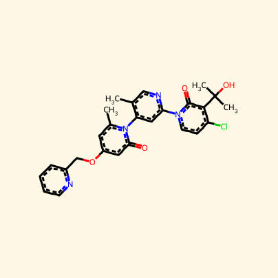 Cc1cnc(-n2ccc(Cl)c(C(C)(C)O)c2=O)cc1-n1c(C)cc(OCc2ccccn2)cc1=O